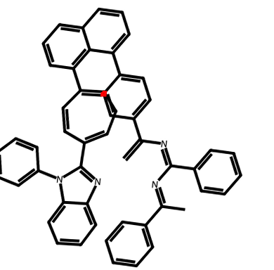 C=C(/N=C(\N=C(/C)c1ccccc1)c1ccccc1)c1ccc(-c2cccc3cccc(C4=CCC=C(c5nc6ccccc6n5-c5ccccc5)C=C4)c23)cc1